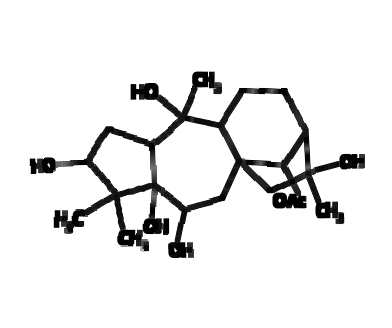 CC(=O)OC1C2CCC3C(C)(O)C4CC(O)C(C)(C)C4(O)C(O)CC13CC2(C)O